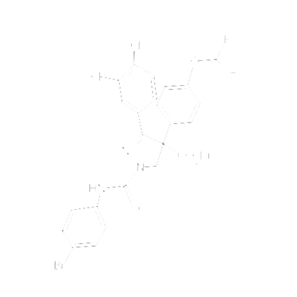 CCOC(=O)C1(c2ccc(OC(F)F)cc2)CN(C(=O)Nc2ccc(Br)cc2)N=C1c1ccc(C(F)(F)F)c(Cl)c1